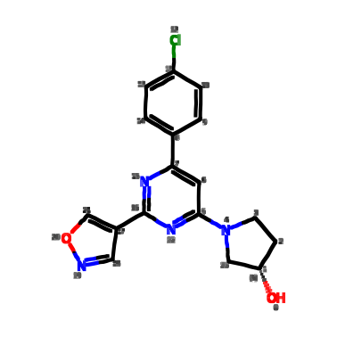 O[C@H]1CCN(c2cc(-c3ccc(Cl)cc3)nc(-c3cnoc3)n2)C1